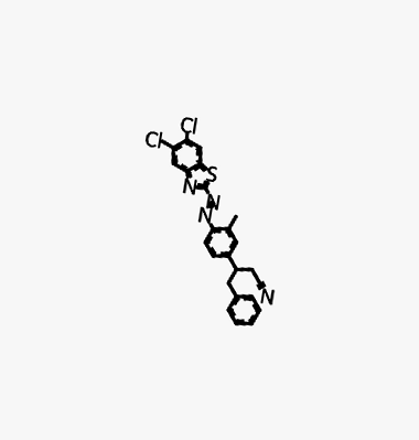 Cc1cc(C(CC#N)Cc2ccccc2)ccc1N=Nc1nc2cc(Cl)c(Cl)cc2s1